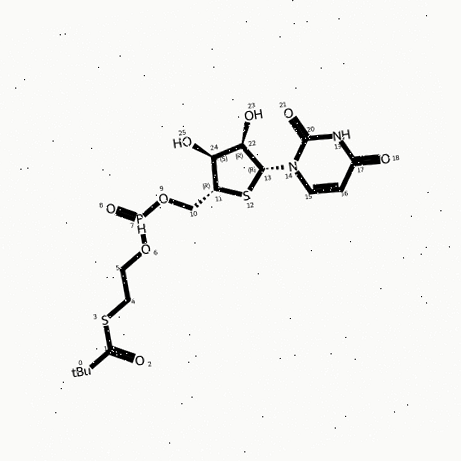 CC(C)(C)C(=O)SCCO[PH](=O)OC[C@H]1S[C@@H](n2ccc(=O)[nH]c2=O)[C@H](O)[C@@H]1O